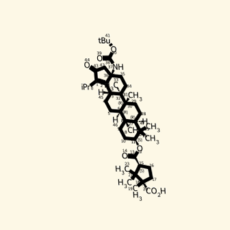 CC(C)C1=C2[C@H]3CC[C@@H]4[C@@]5(C)CC[C@H](OC(=O)[C@H]6CC[C@@](C)(C(=O)O)C6(C)C)C(C)(C)[C@@H]5CC[C@@]4(C)[C@]3(C)CC[C@@]2(NC(=O)OC(C)(C)C)CC1=O